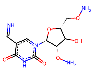 N=Cc1cn([C@@H]2O[C@H](CON)C(O)[C@@H]2ON)c(=O)[nH]c1=O